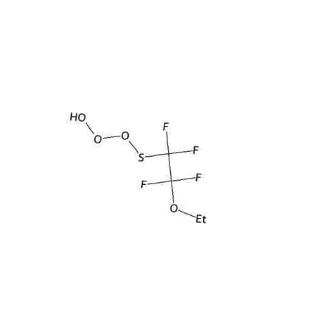 CCOC(F)(F)C(F)(F)SOOO